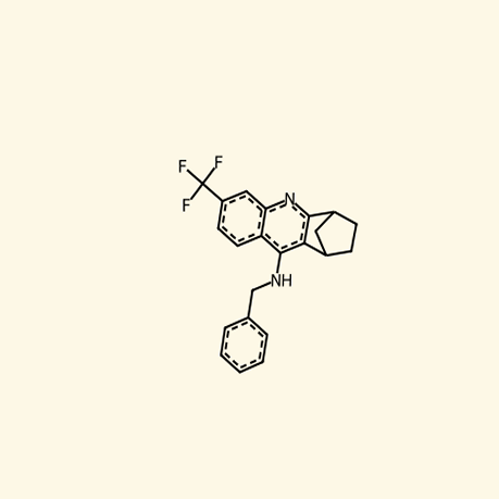 FC(F)(F)c1ccc2c(NCc3ccccc3)c3c(nc2c1)C1CCC3C1